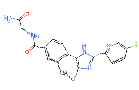 Cc1cc(C(=O)NCC(N)=O)ccc1-c1[nH]c(-c2ccc(F)cn2)nc1Cl